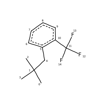 CC(C)(C)Cc1ccccc1C(F)(F)F